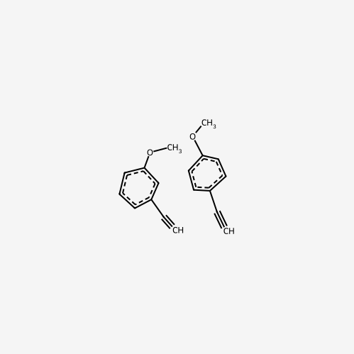 C#Cc1ccc(OC)cc1.C#Cc1cccc(OC)c1